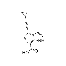 O=C(O)c1ccc(C#CC2CC2)c2cn[nH]c12